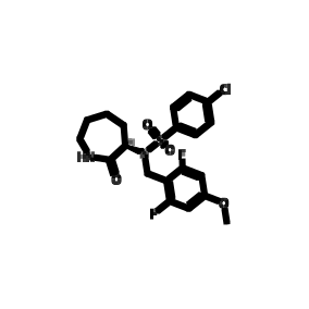 COc1cc(F)c(CN([C@@H]2CCCCNC2=O)S(=O)(=O)c2ccc(Cl)cc2)c(F)c1